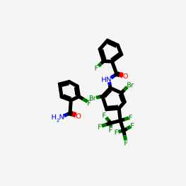 NC(=O)c1ccccc1F.O=C(Nc1c(Br)cc(C(F)(C(F)(F)F)C(F)(F)F)cc1Br)c1ccccc1F